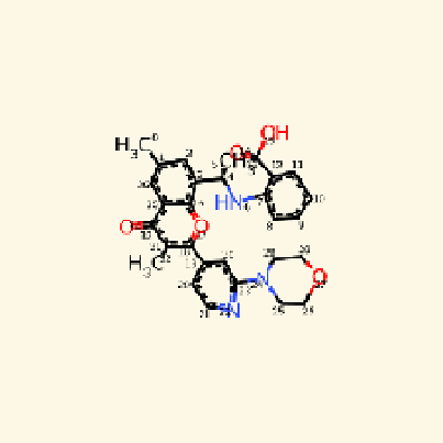 Cc1cc([C@@H](C)Nc2ccccc2C(=O)O)c2oc(-c3ccnc(N4CCOCC4)c3)c(C)c(=O)c2c1